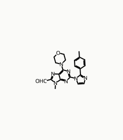 Cc1ccc(-c2nccn2-c2nc(N3CCOCC3)c3nc(C=O)n(C)c3n2)cc1